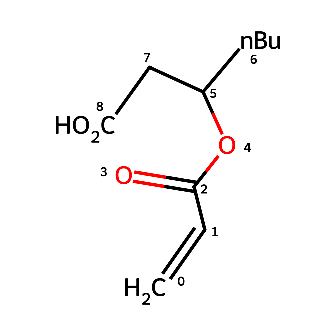 C=CC(=O)OC(CCCC)CC(=O)O